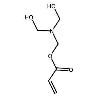 C=CC(=O)OCN(CO)CO